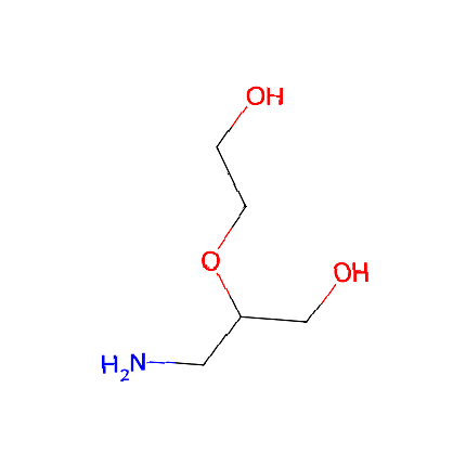 NCC(CO)OCCO